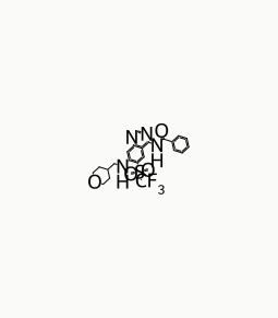 O=C(Nc1ncnc2cc(NCC3CCOCC3)c(S(=O)(=O)C(F)(F)F)cc12)c1ccccc1